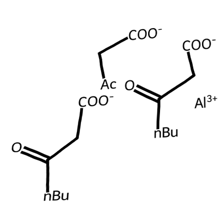 CC(=O)CC(=O)[O-].CCCCC(=O)CC(=O)[O-].CCCCC(=O)CC(=O)[O-].[Al+3]